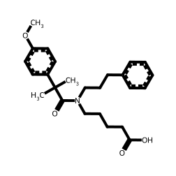 COc1ccc(C(C)(C)C(=O)N(CCCCC(=O)O)CCCc2ccccc2)cc1